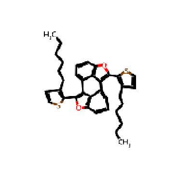 CCCCCCc1ccsc1-c1oc2cccc3c4c(-c5sccc5CCCCCC)oc5cccc(c1c23)c54